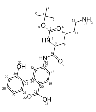 CC(C)(C)OC(=O)NC(CCCCN)C(=O)Nc1ccc(C(=O)O)c(-c2ccccc2O)c1